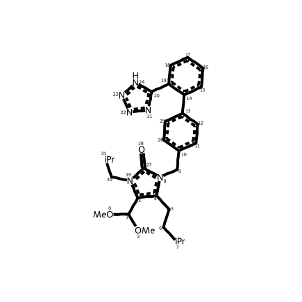 COC(OC)c1c(CCC(C)C)n(Cc2ccc(-c3ccccc3-c3nnn[nH]3)cc2)c(=O)n1CC(C)C